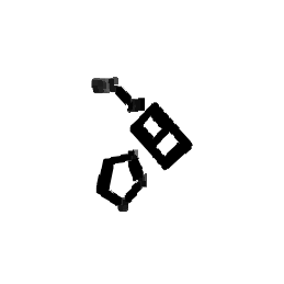 O=CO.c1cc2ccc1-2.c1conn1